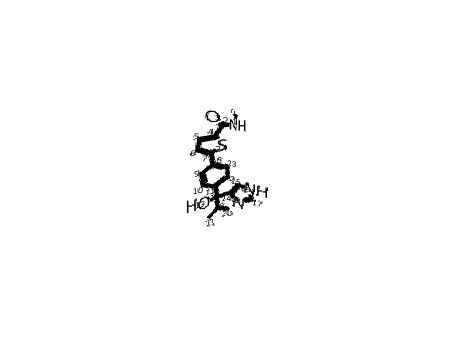 CNC(=O)c1ccc(-c2ccc(C(O)(c3c[nH]cn3)C(C)C)cc2)s1